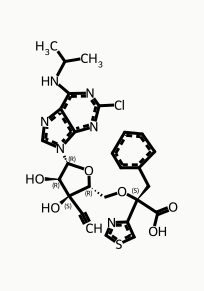 C#C[C@@]1(O)[C@@H](CO[C@](Cc2ccccc2)(C(=O)O)c2cscn2)O[C@@H](n2cnc3c(NC(C)C)nc(Cl)nc32)[C@@H]1O